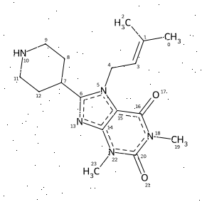 CC(C)=CCn1c(C2CCNCC2)nc2c1c(=O)n(C)c(=O)n2C